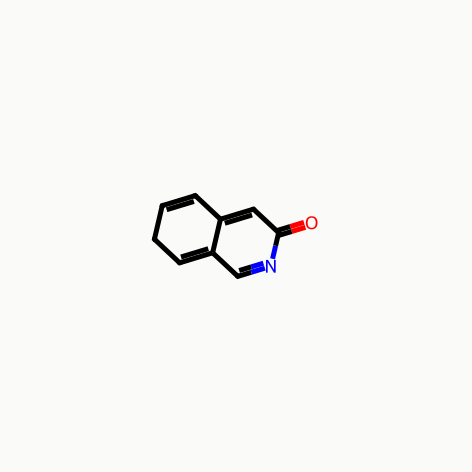 O=C1C=C2C=CCC=C2C=N1